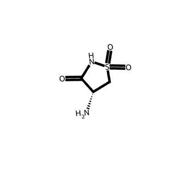 N[C@H]1CS(=O)(=O)NC1=O